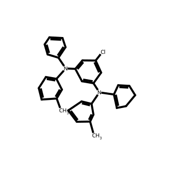 Cc1cccc(N(C2=CCCC=C2)c2cc(Cl)cc(N(c3ccccc3)c3cccc(C)c3)c2)c1